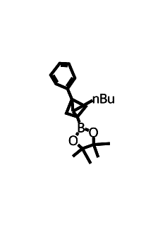 CCCCC1C2(B3OC(C)(C)C(C)(C)O3)CC1(c1ccccc1)C2